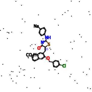 CC(=O)O.O=C1N=C(Nc2cc[c]([Na])cc2)S/C1=C/c1cc2ccccc2cc1OCc1ccc(Cl)cc1